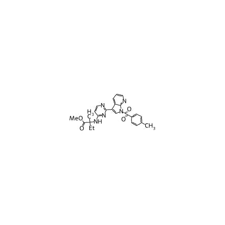 CCC(C)(Nc1ccnc(-c2cn(S(=O)(=O)c3ccc(C)cc3)c3ncccc23)n1)C(=O)OC